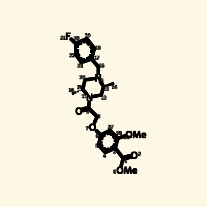 COC(=O)c1ccc(OCC(=O)N2C[C@H](C)N(Cc3ccc(F)cc3)C[C@H]2C)cc1OC